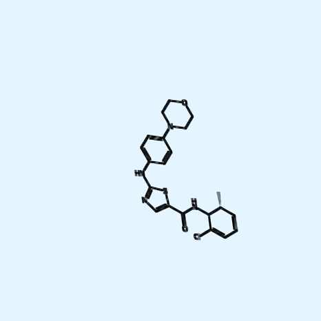 C[C@@H]1C=CC=C(Cl)C1NC(=O)c1cnc(Nc2ccc(N3CCOCC3)cc2)s1